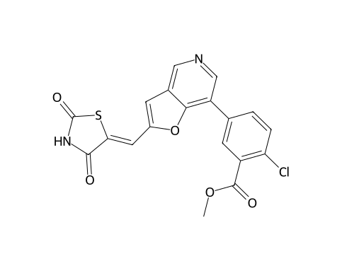 COC(=O)c1cc(-c2cncc3cc(/C=C4\SC(=O)NC4=O)oc23)ccc1Cl